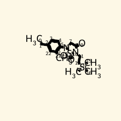 CCc1ccc(N2CC(=O)N(CC[Si](C)(C)C)S2(=O)=O)c(C)c1